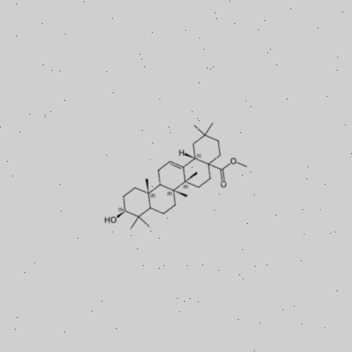 COC(=O)C12CCC(C)(C)C[C@H]1C1=CCC3[C@@]4(C)CC[C@H](O)C(C)(C)C4CC[C@@]3(C)[C@@]1(C)CC2